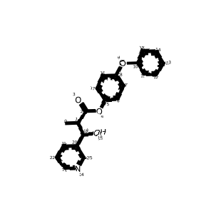 CC(C(=O)Oc1ccc(Oc2ccccc2)cc1)C(O)c1cccnc1